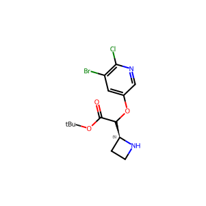 CC(C)(C)OC(=O)C(Oc1cnc(Cl)c(Br)c1)[C@@H]1CCN1